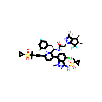 C[C@@H]1c2c(C(F)(F)F)nn(CC(=O)N[C@@H](Cc3cc(F)cc(F)c3)c3nc(C#CC(C)(C)S(=O)(=O)C4CC4)ccc3-c3ccc(Cl)c4c(NS(=O)(=O)C5(C)CC5)nn(C)c34)c2C(F)(F)[C@@H]1C